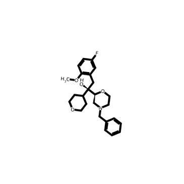 COc1ccc(F)cc1C[C@@](O)(C1CCOCC1)[C@@H]1CN(Cc2ccccc2)CCO1